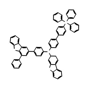 C1=c2oc3ccccc3c2=CCC1N(c1ccc(-c2ccc([Si](c3ccccc3)(c3ccccc3)c3ccccc3)cc2)cc1)c1ccc(-c2cc(-c3ccccc3)c3[nH]c4ccccc4c3c2)cc1